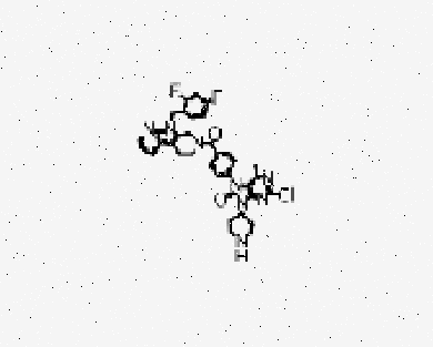 Cc1nc(Cl)nc2c1n(-c1ccc(C(=O)N3CCc4c(n(Cc5ccc(F)cc5F)c5ncccc45)C3)cc1)c(=O)n2C1CCNCC1